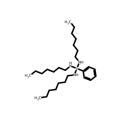 CCCCCCCN[Si](NCCCCCCC)(NCCCCCCC)c1ccccc1